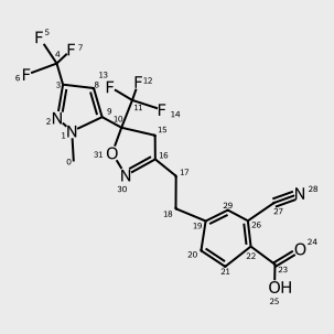 Cn1nc(C(F)(F)F)cc1C1(C(F)(F)F)CC(CCc2ccc(C(=O)O)c(C#N)c2)=NO1